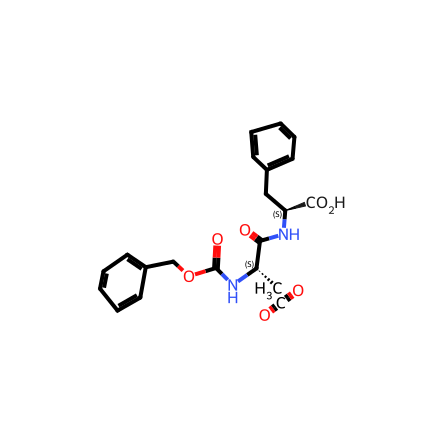 C[C@H](NC(=O)OCc1ccccc1)C(=O)N[C@@H](Cc1ccccc1)C(=O)O.O=C=O